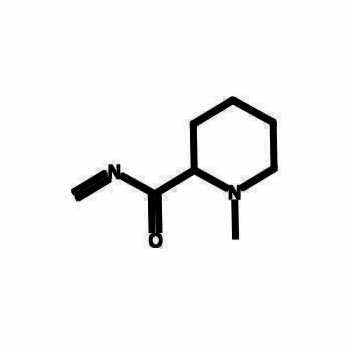 C=NC(=O)C1CCCCN1C